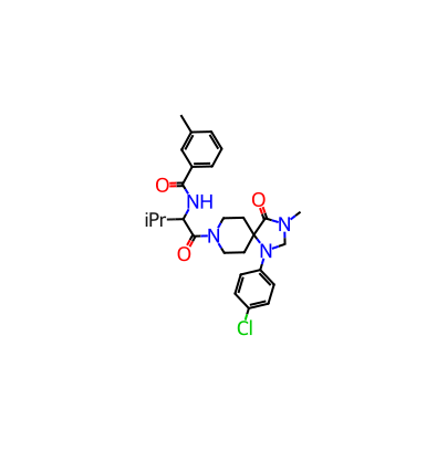 Cc1cccc(C(=O)NC(C(=O)N2CCC3(CC2)C(=O)N(C)CN3c2ccc(Cl)cc2)C(C)C)c1